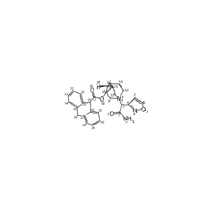 NC(=O)C(c1ccon1)[N+]12CCC(CC1)[C@@H](OC(=O)C1c3ccccc3Cc3ccccc31)C2